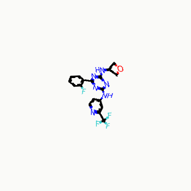 Fc1ccccc1-c1nc(Nc2ccnc(C(F)(F)F)c2)nc(NC2COC2)n1